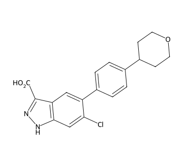 O=C(O)c1n[nH]c2cc(Cl)c(-c3ccc(C4CCOCC4)cc3)cc12